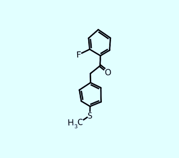 CSc1ccc(CC(=O)c2ccccc2F)cc1